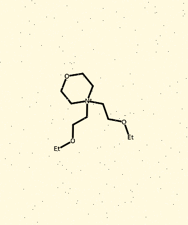 CCOCC[N+]1(CCOCC)CCOCC1